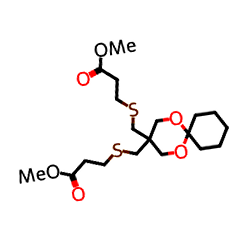 COC(=O)CCSCC1(CSCCC(=O)OC)COC2(CCCCC2)OC1